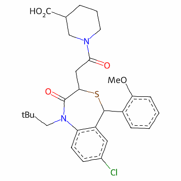 COc1ccccc1C1SC(CC(=O)N2CCCC(C(=O)O)C2)C(=O)N(CC(C)(C)C)c2ccc(Cl)cc21